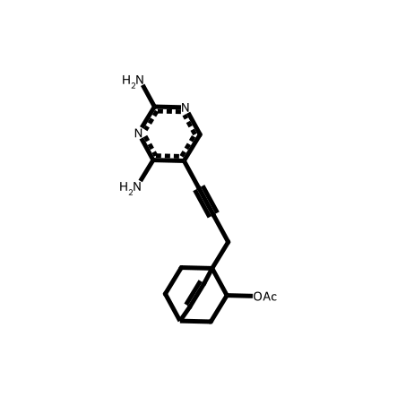 CC(=O)OC1CC2C=CC1(CC#Cc1cnc(N)nc1N)CC2